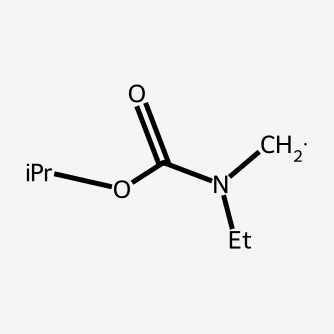 [CH2]N(CC)C(=O)OC(C)C